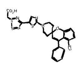 O=C(O)Cn1nnc(-c2cnc(N3CCC4(C=C(c5ccccc5)c5c(Cl)cccc5O4)CC3)s2)n1